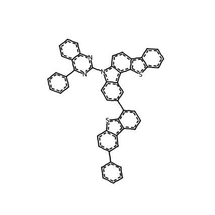 c1ccc(-c2ccc3sc4c(-c5ccc6c(c5)c5c7sc8ccccc8c7ccc5n6-c5nc(-c6ccccc6)c6ccccc6n5)cccc4c3c2)cc1